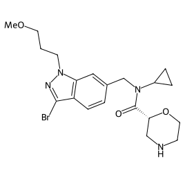 COCCCn1nc(Br)c2ccc(CN(C(=O)[C@H]3CNCCO3)C3CC3)cc21